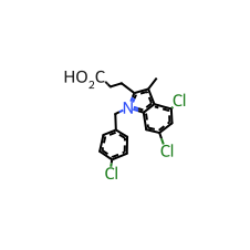 Cc1c(CCC(=O)O)n(Cc2ccc(Cl)cc2)c2cc(Cl)cc(Cl)c12